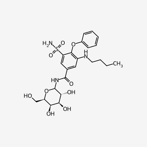 CCCCNc1cc(C(=O)NC2O[C@H](CO)[C@H](O)[C@H](O)[C@H]2O)cc(S(N)(=O)=O)c1Oc1ccccc1